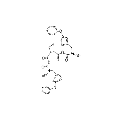 CCCN(Cc1ccc(Oc2ccccc2)s1)C(=O)OC(=O)C1CCC1C(=O)OC(=O)N(CCC)Cc1ccc(Oc2ccccc2)s1